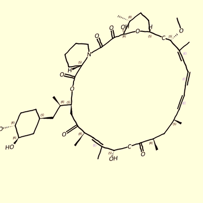 CO[C@H]1C[C@@H]2CC[C@@H](C)[C@@](O)(O2)C(=O)C(=O)N2CCCC[C@H]2C(=O)O[C@H]([C@H](C)C[C@@H]2CC[C@@H](O)[C@H](O)C2)CC(=O)[C@H](C)/C=C(\C)[C@@H](O)CC(=O)[C@H](C)C[C@H](C)/C=C/C=C/C=C/1C